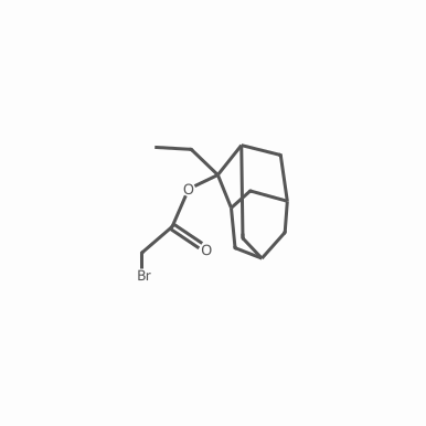 CCC1(OC(=O)CBr)C2CC3CC(C2)CC1C3